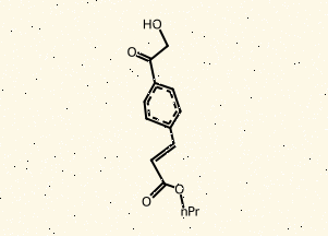 CCCOC(=O)C=Cc1ccc(C(=O)CO)cc1